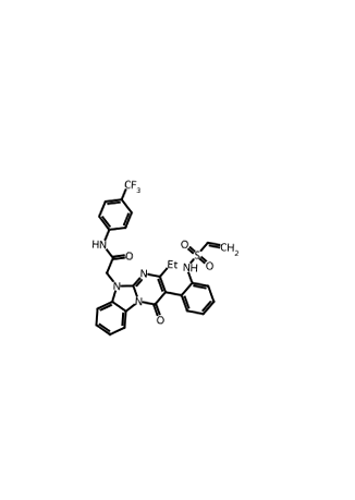 C=CS(=O)(=O)Nc1ccccc1-c1c(CC)nc2n(CC(=O)Nc3ccc(C(F)(F)F)cc3)c3ccccc3n2c1=O